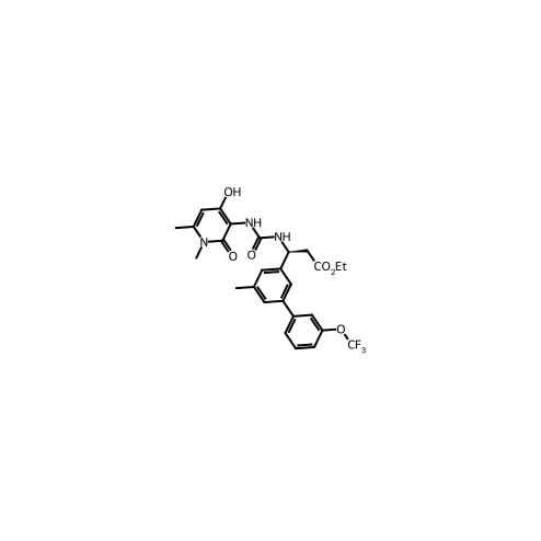 CCOC(=O)C[C@H](NC(=O)Nc1c(O)cc(C)n(C)c1=O)c1cc(C)cc(-c2cccc(OC(F)(F)F)c2)c1